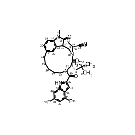 CC(C)(C)C[C@H]1C(=O)N2C[C@]3(C[C@H]2C#N)C(=O)Nc2ccc(cc23)CCCCCN1C(=O)c1cc2c(F)cc(F)cc2[nH]1